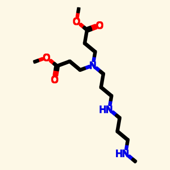 CNCCCNCCCN(CCC(=O)OC)CCC(=O)OC